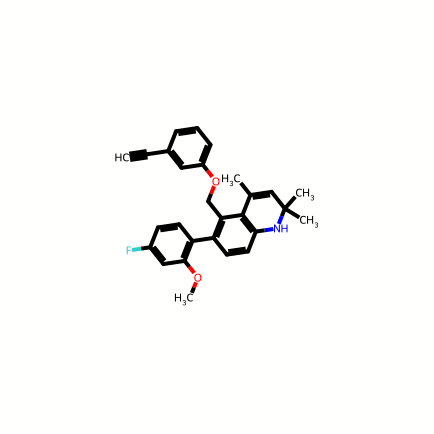 C#Cc1cccc(OCc2c(-c3ccc(F)cc3OC)ccc3c2C(C)=CC(C)(C)N3)c1